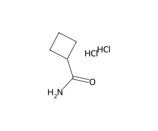 Cl.Cl.NC(=O)C1CCC1